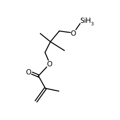 C=C(C)C(=O)OCC(C)(C)CO[SiH3]